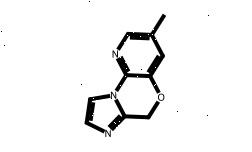 Cc1cnc2c(c1)OCc1nccn1-2